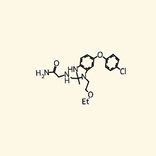 CCOCCN1c2cc(Oc3ccc(Cl)cc3)ccc2NC1(C)CNCC(N)=O